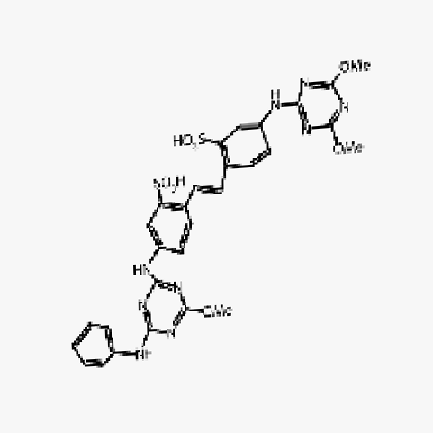 COc1nc(Nc2ccccc2)nc(Nc2ccc(C=Cc3ccc(Nc4nc(OC)nc(OC)n4)cc3S(=O)(=O)O)c(S(=O)(=O)O)c2)n1